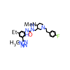 CCc1cc(NC(=O)NCC2CN(CCc3ccc(F)cc3)CCC2NC)cc(-c2nnnn2C)c1